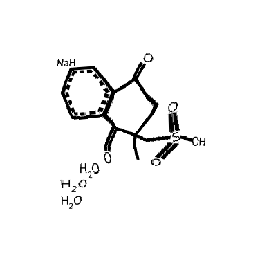 CC1(S(=O)(=O)O)CC(=O)c2ccccc2C1=O.O.O.O.[NaH]